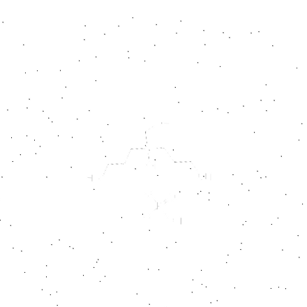 CCCC[N+](O)(CO)CCCC.O=P(O)(O)O